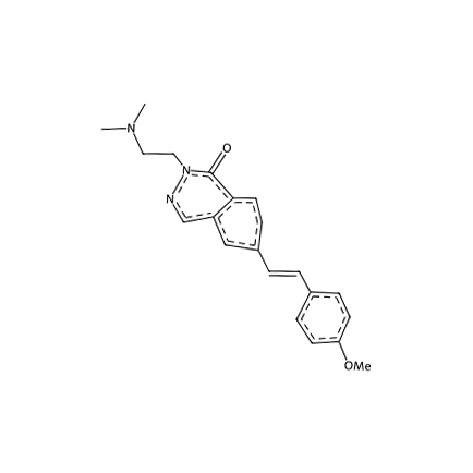 COc1ccc(/C=C/c2ccc3c(=O)n(CCN(C)C)ncc3c2)cc1